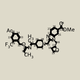 C/C=C(\N=C(/C)C1CCN(Cc2nc3c(n2C[C@@H]2CCO2)CC(C(=O)OC)C=C3)CC1)OCc1ccc(C(C)=O)cc1C(F)(F)F